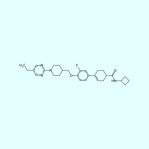 CCc1cnc(N2CCC(COc3ccc(C4=CCC(C(=O)NC5CCC5)CC4)cc3F)CC2)nc1